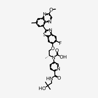 COc1cnc2c(-c3nc4cc(F)c(OC[C@@H](C)N(C(=O)O)c5ccc(C(=O)NCC(C)(C)O)nc5)cc4s3)cc(C)cc2n1